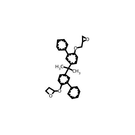 CC(C)(c1ccc(OCC2CO2)c(-c2ccccc2)c1)c1ccc(OC2CCO2)c(-c2ccccc2)c1